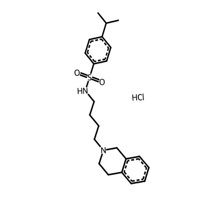 CC(C)c1ccc(S(=O)(=O)NCCCCN2CCc3ccccc3C2)cc1.Cl